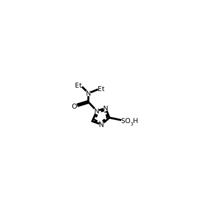 CCN(CC)C(=O)n1cnc(S(=O)(=O)O)n1